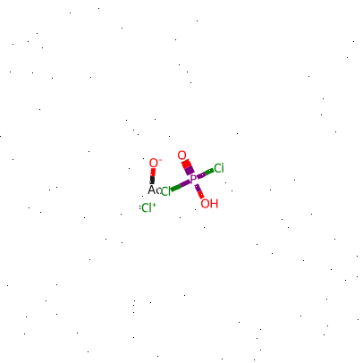 CC(=O)[O-].O=P(O)(Cl)Cl.[Cl+]